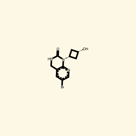 O=C1NCc2cc(Br)cnc2N1[C@H]1C[C@@H](O)C1